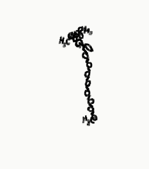 COCCOCCOCCOCCOCCOCCOCCOCCC(=O)N1CCC(CC(=O)C(C)C)(CC(=O)C(C)(C)C)CC1